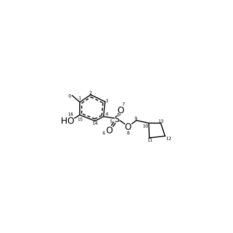 Cc1ccc(S(=O)(=O)OCC2CCC2)cc1O